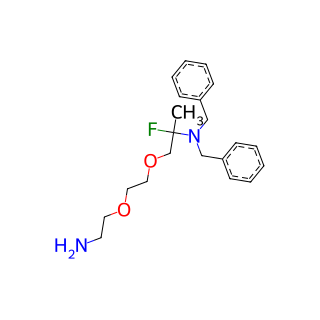 CC(F)(COCCOCCN)N(Cc1ccccc1)Cc1ccccc1